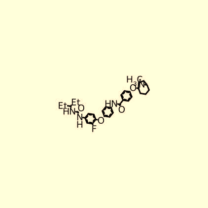 CCC(CC)NC(=O)Nc1ccc(Oc2ccc(NC(=O)c3ccc(OC45CCCC(CC4)N5C)cc3)cc2)c(F)c1